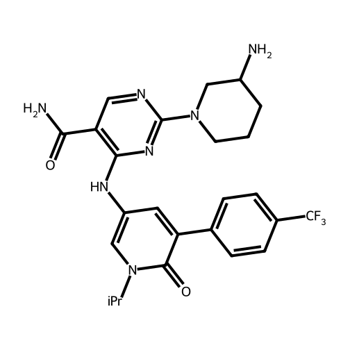 CC(C)n1cc(Nc2nc(N3CCCC(N)C3)ncc2C(N)=O)cc(-c2ccc(C(F)(F)F)cc2)c1=O